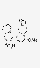 COc1cccc2c1CC[C@H](C)C2.O=C(O)c1ccc2ccccc2c1